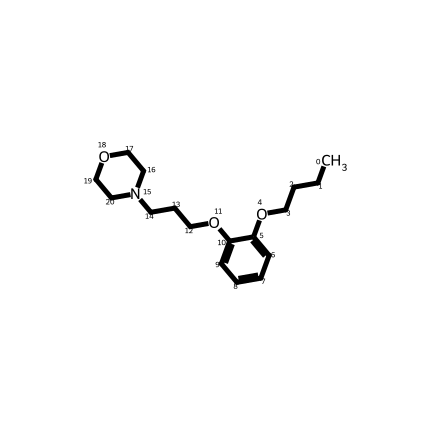 CCCCOc1ccccc1OCCCN1CCOCC1